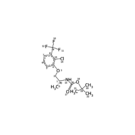 C[C@H](COc1cccc(C(F)(F)F)c1Cl)NC(=O)OC(C)(C)C